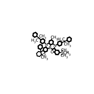 Cc1cc2c3c(c1)N(c1ccc(C(C)(C)c4ccccc4)cc1)c1c(oc4ccc(S(C)(C)C)cc14)B3c1cc3c(cc1N2c1ccc(C(C)(C)c2ccccc2)cc1)C1(c2ccccc2)CCCCC1(C)O3